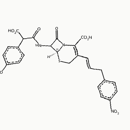 O=C(O)C1=C(C=CCc2ccc([N+](=O)[O-])cc2)CS[C@H]2C(NC(=O)C(C(=O)O)c3ccc(O)cc3)C(=O)N12